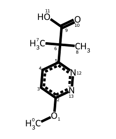 COc1ccc(C(C)(C)C(=O)O)nn1